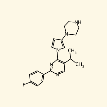 CC(C)c1cnc(-c2ccc(F)cc2)nc1-n1ccc(N2CCNCC2)c1